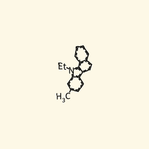 CCn1c2cc(C)ccc2c2ccc3ccccc3c21